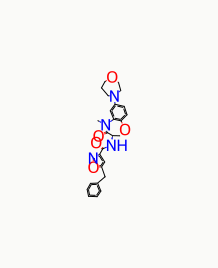 CN1C(=O)[C@H](NC(=O)c2cc(Cc3ccccc3)on2)COc2ccc(N3CCCOCC3)cc21